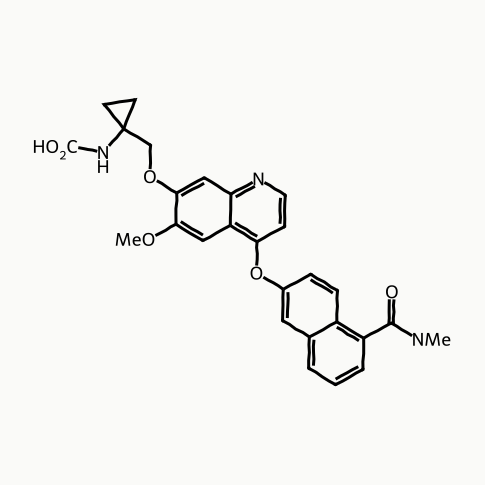 CNC(=O)c1cccc2cc(Oc3ccnc4cc(OCC5(NC(=O)O)CC5)c(OC)cc34)ccc12